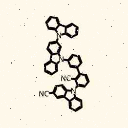 N#Cc1ccc2c(c1)c1ccccc1n2-c1cccc(-c2cccc(-n3c4ccccc4c4ccc(-n5c6ccccc6c6ccccc65)cc43)c2)c1C#N